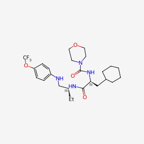 CC[C@@H](CNc1ccc(OC(F)(F)F)cc1)NC(=O)[C@H](CC1CCCCC1)NC(=O)N1CCOCC1